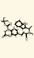 CC(c1cc2ccccc2[nH]1)N(C)C(=O)C=Cc1cnc2c(c1)NC(=O)CN2C(=O)OC(C)(C)C